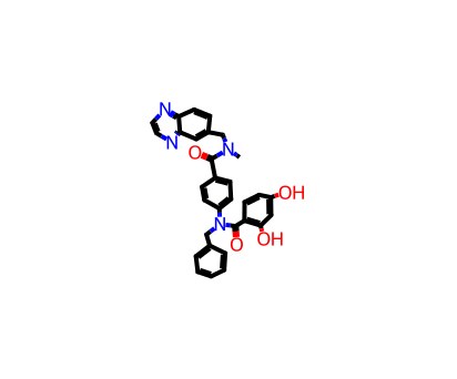 CN(Cc1ccc2nccnc2c1)C(=O)c1ccc(N(Cc2ccccc2)C(=O)c2ccc(O)cc2O)cc1